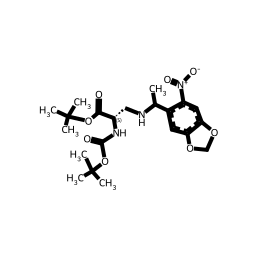 CC(NC[C@H](NC(=O)OC(C)(C)C)C(=O)OC(C)(C)C)c1cc2c(cc1[N+](=O)[O-])OCO2